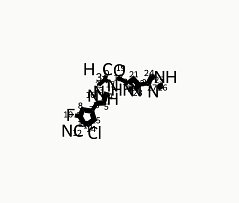 CC(Cn1ccc(-c2cc(F)c(C#N)c(Cl)c2)n1)NC(=O)c1cc(-c2c[nH]cn2)n[nH]1